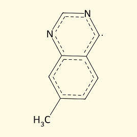 Cc1ccc2[c]ncnc2c1